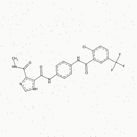 CNC(=O)c1nc[nH]c1C(=O)Nc1ccc(NC(=O)c2cc(C(F)(F)F)ccc2Cl)cc1